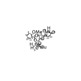 COC1C(OC(=O)c2ccccc2)C(CO[Si](C)(C)C(C)(C)C)OC1n1ccc(=O)[nH]c1=O